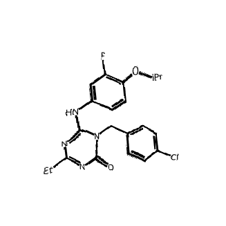 CCc1nc(Nc2ccc(OC(C)C)c(F)c2)n(Cc2ccc(Cl)cc2)c(=O)n1